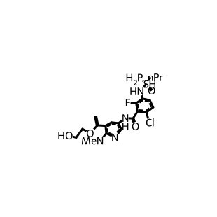 C=C(OCCO)c1cc(NC(=O)c2c(Cl)ccc(N[SH](=O)(P)CCC)c2F)cnc1NC